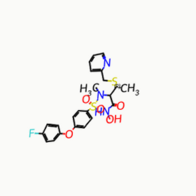 C[C@@H](SCc1ccccn1)C(C(=O)NO)N(C)S(=O)(=O)c1ccc(Oc2ccc(F)cc2)cc1